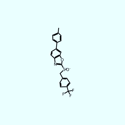 Cc1ccc(-c2ccc3nc([S+]([O-])Cc4ccc(C(F)(F)F)cc4)oc3c2)cc1